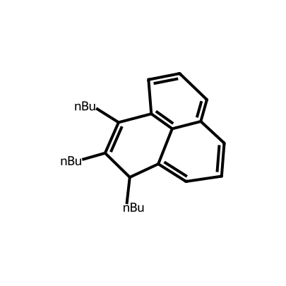 CCCCC1=C(CCCC)C(CCCC)c2cccc3cccc1c23